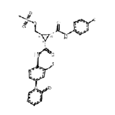 CS(=O)(=O)OC[C@@H]1[C@@H](C(=O)Nc2ccc(-n3ccccc3=O)cc2F)[C@H]1C(=O)Nc1ccc(Cl)cc1